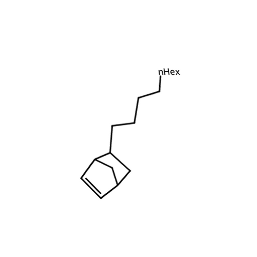 CCCCCCCCCCC1CC2C=CC1C2